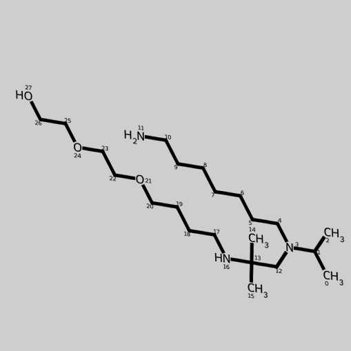 CC(C)N(CCCCCCCN)CC(C)(C)NCCCCOCCOCCO